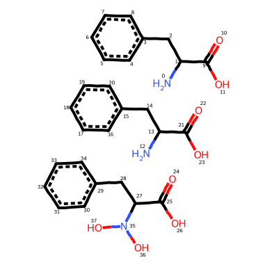 NC(Cc1ccccc1)C(=O)O.NC(Cc1ccccc1)C(=O)O.O=C(O)C(Cc1ccccc1)N(O)O